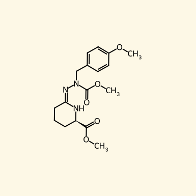 COC(=O)[C@H]1CCCC(=NN(Cc2ccc(OC)cc2)C(=O)OC)N1